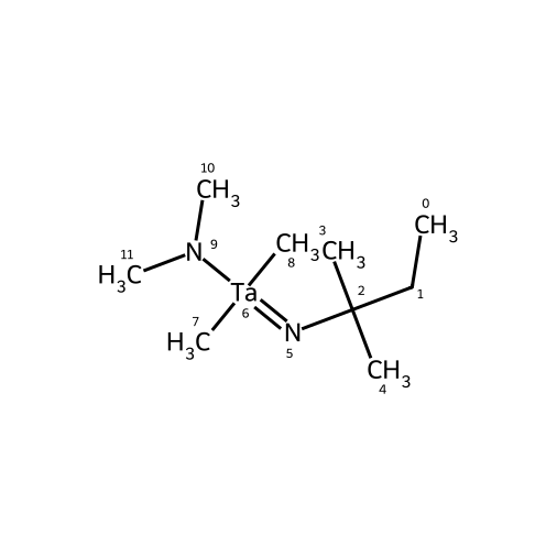 CCC(C)(C)[N]=[Ta]([CH3])([CH3])[N](C)C